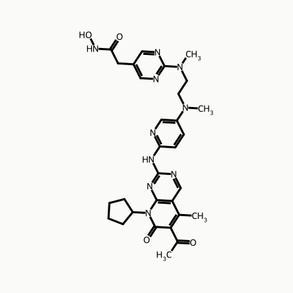 CC(=O)c1c(C)c2cnc(Nc3ccc(N(C)CCN(C)c4ncc(CC(=O)NO)cn4)cn3)nc2n(C2CCCC2)c1=O